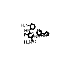 NC(=O)c1cc(F)c(NC2CCCC[C@@H]2N)nc1Nc1cncc(-c2ccc[nH]2)c1